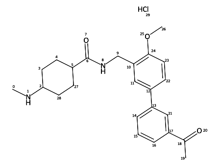 CNC1CCC(C(=O)NCc2cc(-c3cccc(C(C)=O)c3)ccc2OC)CC1.Cl